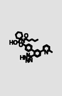 CCCCC(=O)N(Cc1ccc(-c2cc(-c3cccc(C)n3)ccc2-c2nn[nH]n2)cc1)C1(C(=O)O)CCCCC1